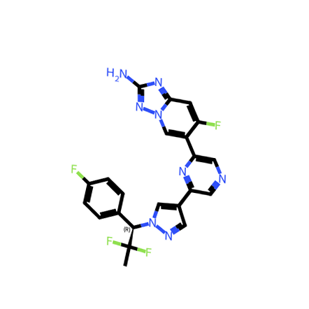 CC(F)(F)[C@@H](c1ccc(F)cc1)n1cc(-c2cncc(-c3cn4nc(N)nc4cc3F)n2)cn1